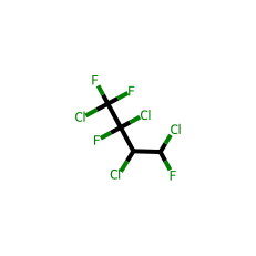 FC(Cl)C(Cl)C(F)(Cl)C(F)(F)Cl